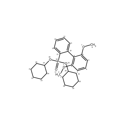 COc1cccc(OC)c1-c1ccccc1P(=O)(OC1CCCCC1)OC1CCCCC1